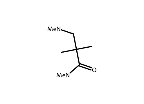 CNCC(C)(C)C(=O)NC